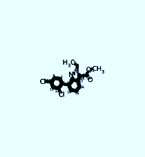 CCn1nc2c(-c3ccc(Cl)cc3Cl)cccc2c1C(=O)OC